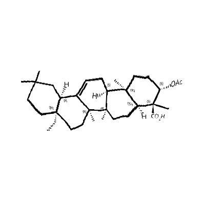 CC(=O)O[C@H]1CC[C@@]2(C)[C@H](CC[C@]3(C)[C@H]2CC=C2[C@@H]4CC(C)(C)CC[C@]4(C)CC[C@@]23C)[C@]1(C)C(=O)O